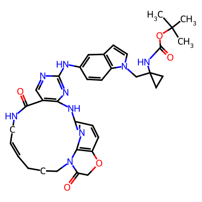 CC(C)(C)OC(=O)NC1(Cn2ccc3cc(Nc4ncc5c(n4)Nc4ccc6c(n4)N(CCC/C=C\CNC5=O)C(=O)CO6)ccc32)CC1